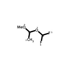 COC(C)OC(F)F